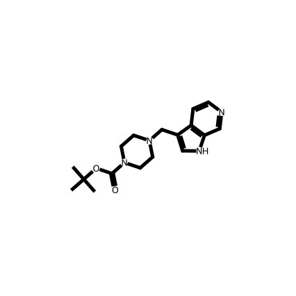 CC(C)(C)OC(=O)N1CCN(Cc2c[nH]c3cnccc23)CC1